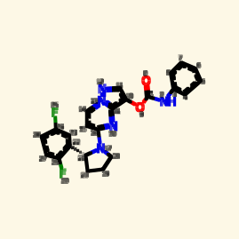 O=C(Nc1ccccc1)Oc1cnn2ccc(N3CCC[C@@H]3c3cc(F)ccc3F)nc12